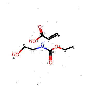 C=CC(=O)O.CCOC(=O)NCCO